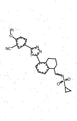 CC(C)Oc1ccc(-c2nnc(-c3cccc4c3CCCC4/C=N/S(=O)(=O)C3CC3)s2)cc1C#N